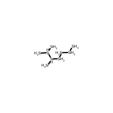 [SiH3][SiH2][SiH2][SiH2][SiH]([SiH3])[SiH]([SiH3])[SiH3]